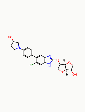 OC1CCN(c2ccc(-c3cc4nc(OC5CO[C@@H]6C(O)CO[C@H]56)[nH]c4cc3Cl)cc2)C1